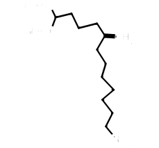 C=C(CCCCCCCN)CCCC(CCCCC)CCCCC